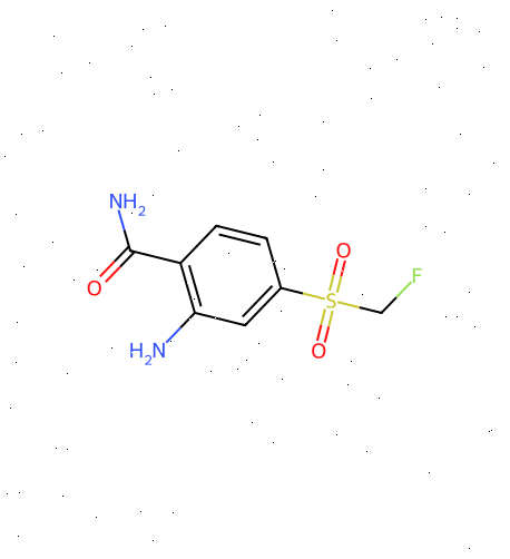 NC(=O)c1ccc(S(=O)(=O)CF)cc1N